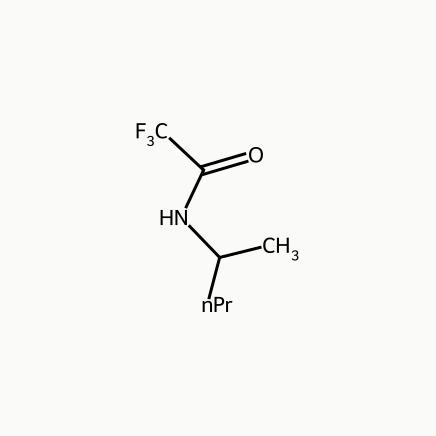 CCCC(C)NC(=O)C(F)(F)F